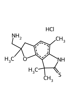 Cc1cc2c(c3c1NC(=S)C3(C)C)OC(C)(CN)C2.Cl